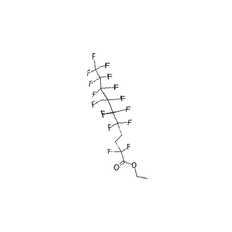 CCOC(=O)C(F)(F)CCC(F)(F)C(F)(F)C(F)(F)C(F)(F)C(F)(F)C(F)(F)F